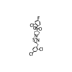 O=S(=O)(c1ccc(F)cc1Cl)C1CCN(c2nc(Cc3ccc(Cl)cc3Cl)cs2)CC1